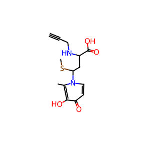 C#CCNC(CC(SC)n1ccc(=O)c(O)c1C)C(=O)O